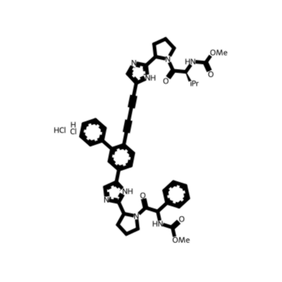 COC(=O)NC(C(=O)N1CCCC1c1ncc(-c2ccc(C#CC#Cc3cnc(C4CCCN4C(=O)[C@@H](NC(=O)OC)C(C)C)[nH]3)c(-c3ccccc3)c2)[nH]1)c1ccccc1.Cl.Cl